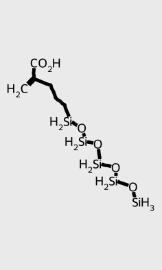 C=C(CCC[SiH2]O[SiH2]O[SiH2]O[SiH2]O[SiH3])C(=O)O